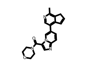 Cc1ncc(-c2ccc3ncc(C(=O)N4CCOCC4)n3c2)c2c1CC=C2